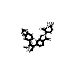 Cn1ncc(-c2ccc3c(c2)CN(C2CCC(=O)NC2=O)C3=O)c1-c1ccc2scnc2c1